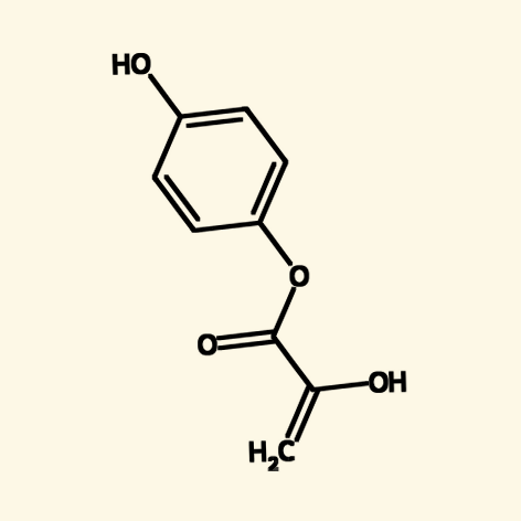 C=C(O)C(=O)Oc1ccc(O)cc1